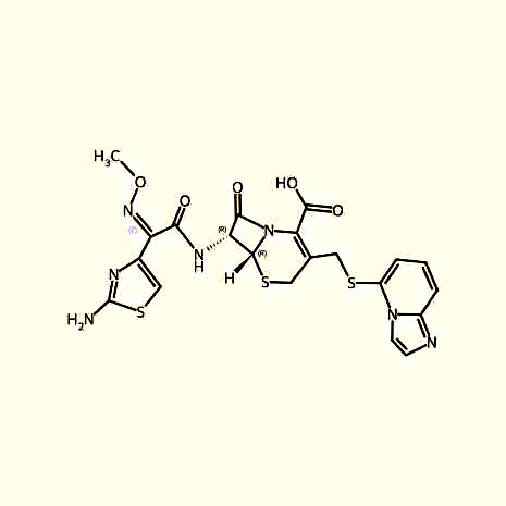 CO/N=C(\C(=O)N[C@@H]1C(=O)N2C(C(=O)O)=C(CSc3cccc4nccn34)CS[C@H]12)c1csc(N)n1